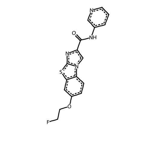 O=C(Nc1cccnc1)c1cn2c(n1)sc1cc(OCCF)ccc12